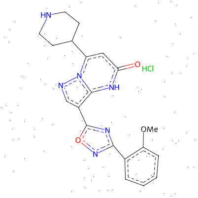 COc1ccccc1-c1noc(-c2cnn3c(C4CCNCC4)cc(=O)[nH]c23)n1.Cl